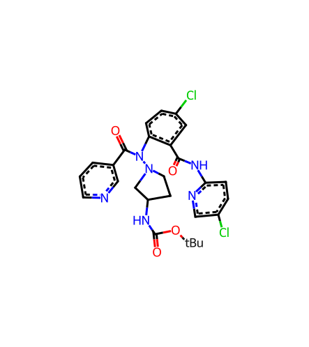 CC(C)(C)OC(=O)NC1CCN(N(C(=O)c2cccnc2)c2ccc(Cl)cc2C(=O)Nc2ccc(Cl)cn2)C1